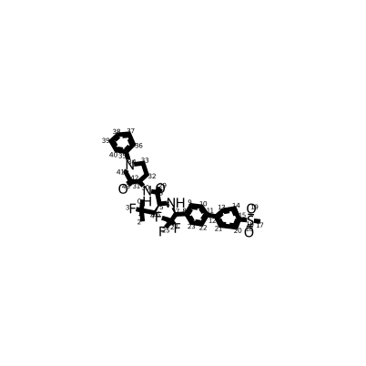 CC(C)(F)C[C@H](N[C@@H](c1ccc(-c2ccc(S(C)(=O)=O)cc2)cc1)C(F)(F)F)C(=O)NC1CCN(c2ccccc2)CC1=O